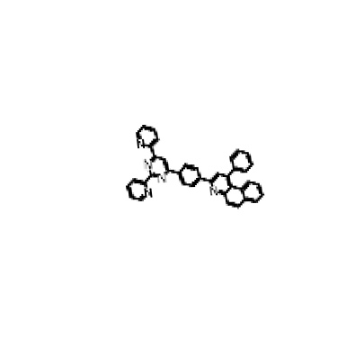 c1ccc(-c2cc(-c3ccc(-c4cc(-c5ccccn5)nc(-c5ccccn5)n4)cc3)nc3ccc4ccccc4c23)cc1